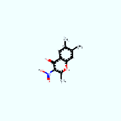 Cc1cc2oc(C)c([N+](=O)[O-])c(=O)c2cc1C